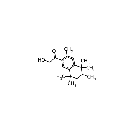 Cc1cc2c(cc1C(=O)CO)C(C)(C)CC(C)C2(C)C